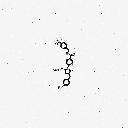 CCS(=O)(=O)c1ccc(CNC(=O)c2ccc(N3CC(Cc4ccc(C(F)(F)F)cc4)C[C@H]3COC)nc2)cc1